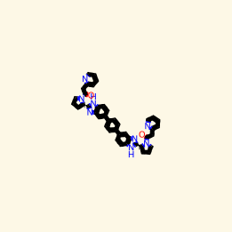 O=C(Cc1ccccn1)N1CCC[C@H]1c1nc2cc(-c3ccc(-c4ccc5[nH]c([C@@H]6CCCN6C(=O)Cc6ccccn6)nc5c4)cc3)ccc2[nH]1